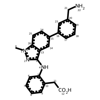 Cn1nc(Nc2ccccc2CC(=O)O)c2cc(-c3cccc(CN)c3)ccc21